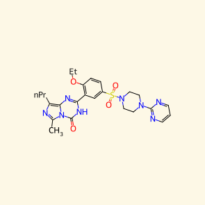 CCCc1nc(C)n2c(=O)[nH]c(-c3cc(S(=O)(=O)N4CCN(c5ncccn5)CC4)ccc3OCC)nc12